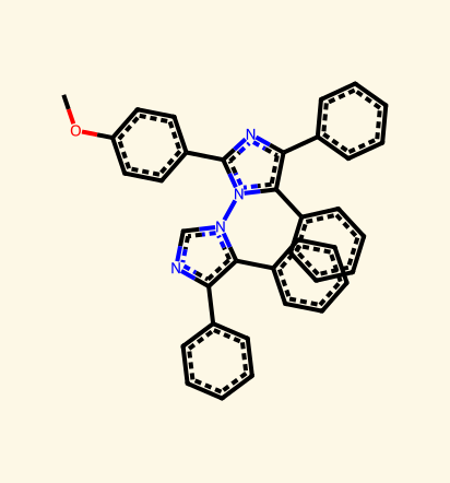 COc1ccc(-c2nc(-c3ccccc3)c(-c3ccccc3)n2-n2cnc(-c3ccccc3)c2-c2ccccc2)cc1